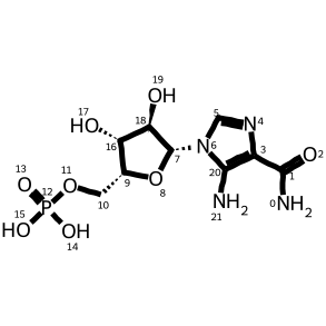 NC(=O)c1ncn([C@@H]2O[C@H](COP(=O)(O)O)[C@H](O)[C@H]2O)c1N